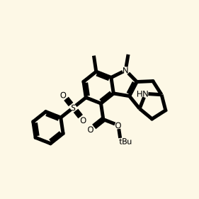 Cc1cc(S(=O)(=O)c2ccccc2)c(C(=O)OC(C)(C)C)c2c3c(n(C)c12)CC1CCC3N1